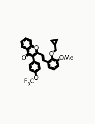 COc1cccc(C=Cc2oc3ccccc3c(=O)c2-c2ccc(OC(F)(F)F)cc2)c1OCC1CC1